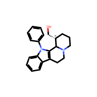 OC[C@@H]1CCCN2CCc3c(n(-c4ccccc4)c4ccccc34)C12